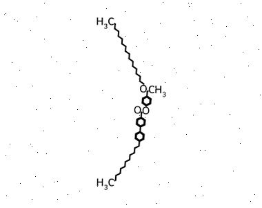 CCCCCCCCCCCCCCCCCCOC(C)c1ccc(OC(=O)c2ccc(-c3ccc(CCCCCCCCCCCC)cc3)cc2)cc1